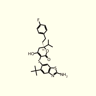 CC(C)[C@]1(CCc2ccc(F)cc2)CC(O)=C(Sc2cc3sc(N)nc3cc2C(C)(C)C)C(=O)O1